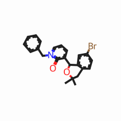 CC1(C)Cc2ccc(Br)cc2C(c2cccn(Cc3ccccc3)c2=O)O1